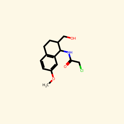 COc1ccc2c(c1)C(NC(=O)CCl)C(CO)CC2